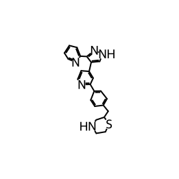 c1ccc(-c2n[nH]cc2-c2ccnc(-c3ccc(CC4CNCCS4)cc3)c2)nc1